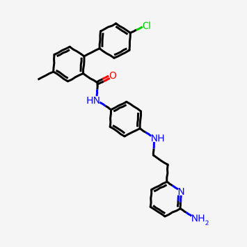 Cc1ccc(-c2ccc(Cl)cc2)c(C(=O)Nc2ccc(NCCc3cccc(N)n3)cc2)c1